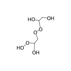 OCC(O)OOCC(O)OO